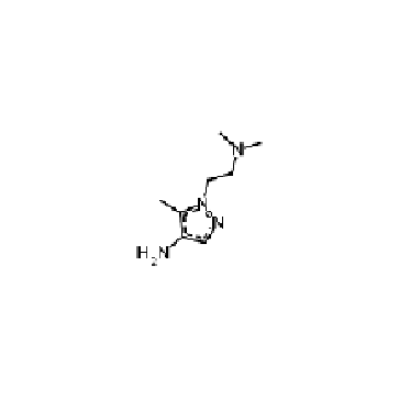 Cc1c(N)cnn1CCN(C)C